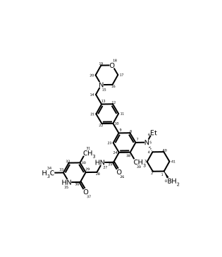 B[C@H]1CC[C@H](N(CC)c2cc(-c3ccc(CN4CCOCC4)cc3)cc(C(=O)NCc3c(C)cc(C)[nH]c3=O)c2C)CC1